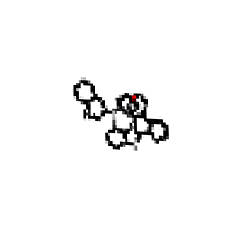 c1ccc(P(c2cnc3ccccc3c2)c2cccc3nc4c5ccccc5c5ccccc5n4c23)cc1